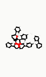 N#Cc1cc(-n2c3ccccc3c3ccc(-n4c5ccccc5c5ccccc54)cc32)c(-c2c(F)c(F)c(F)c(F)c2F)c(-n2c3ccccc3c3ccc(-n4c5ccccc5c5ccccc54)cc32)c1